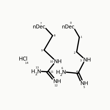 CCCCCCCCCCCCNC(=N)N.CCCCCCCCCCCCNC(=N)N.Cl